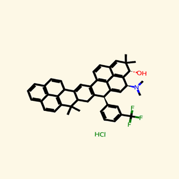 CN(C)[C@H]1C=C2c3c(ccc4c3=C1[C@@H](O)C(C)(C)C=4)C1=C(CC3C(=C1)C1C=Cc4cccc5ccc(c1c45)C3(C)C)[C@@H]2c1cccc(C(F)(F)F)c1.Cl